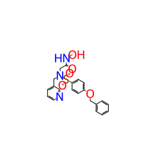 O=C(CN(Cc1cccnc1)S(=O)(=O)c1ccc(OCc2ccccc2)cc1)NO